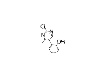 Cc1nc(Cl)ncc1-c1ccccc1O